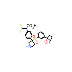 O=C(O)C(=C(F)F)c1ccc(C2(S(=O)(=O)c3cccc(C4(O)CCC4)c3)CCNC2)cc1